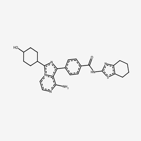 Nc1nccn2c(C3CCC(O)CC3)nc(-c3ccc(C(=O)Nc4nc5c(s4)CCCC5)cc3)c12